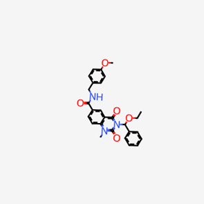 CCOC(c1ccccc1)n1c(=O)c2cc(C(=O)NCc3ccc(OC)cc3)ccc2n(C)c1=O